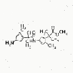 COC(=O)C(C)(C)C1=CC(NC(=O)C(C)(C)c2cc(N)cn2C)=CC1C